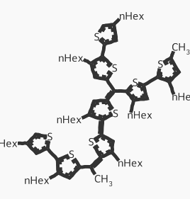 CCCCCCc1csc(-c2sc(/C(c3sc(-c4sc(C)cc4CCCCCC)cc3CCCCCC)=c3\cc(CCCCCC)/c(=c4/cc(CCCCCC)/c(=C(\C)c5cc(CCCCCC)c(-c6cc(CCCCCC)cs6)s5)s4)s3)cc2CCCCCC)c1